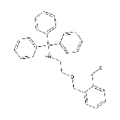 ClCc1ccccc1COCCNC(c1ccccc1)(c1ccccc1)c1ccccc1